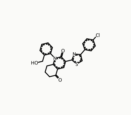 O=C1CCCc2c1cc(-c1nc(-c3ccc(Cl)cc3)cs1)c(=O)n2-c1ccccc1CO